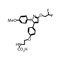 COc1ccc(-n2nc(OCC(F)F)cc2-c2ccc(OCCNC(=O)O)cc2)cc1